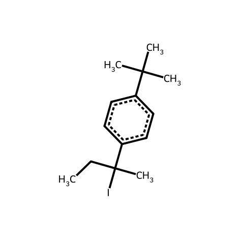 CCC(C)(I)c1ccc(C(C)(C)C)cc1